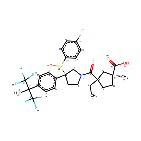 CCC1(C(=O)N2CC[C@](c3ccc(C(C)(C(F)(F)F)C(F)(F)F)cc3)([S+]([O-])c3ccc(F)cc3)C2)CC[C@](C)(C(=O)O)C1